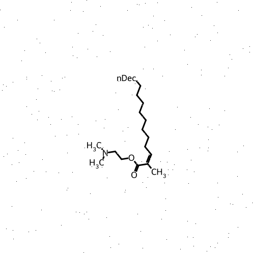 CCCCCCCCCCCCCCCCCCC=C(C)C(=O)OCCN(C)C